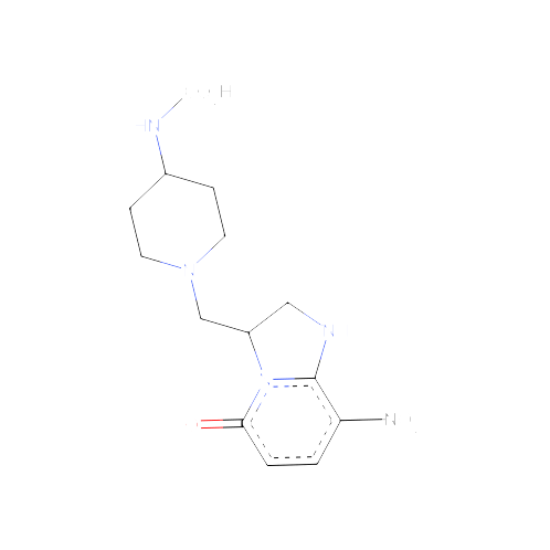 O=C(O)NC1CCN(CC2CNc3c([N+](=O)[O-])ccc(=O)n32)CC1